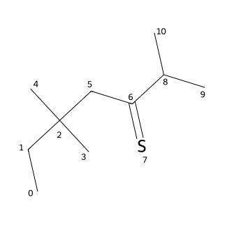 CCC(C)(C)CC(=S)C(C)C